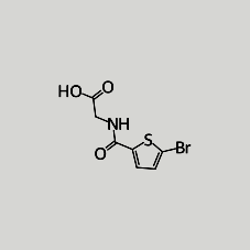 O=C(O)CNC(=O)c1ccc(Br)s1